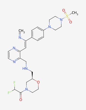 C=N/C(=C\c1nccnc1CNC[C@@H]1CN(C(=O)C(F)F)CCO1)c1ccc(N2CCN(S(C)(=O)=O)CC2)cc1